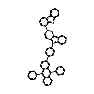 C1=CC(c2cccc3c2sc2ccccc23)Cc2c1n(-c1ccc(-c3ccc4c(-c5ccccc5)c5ccccc5c(-c5ccccc5)c4c3)cc1)c1ccccc21